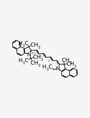 CCN1\C(=C/C=C/C=C/C=C/C2=[N+](C(C)(C)C)c3ccc4ccccc4c3C2(C)C)C(C)(C)c2c1ccc1ccccc21